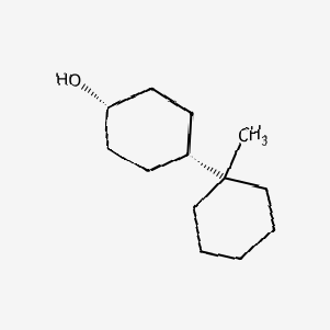 CC1([C@H]2CC[C@@H](O)CC2)CCCCC1